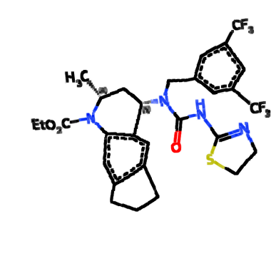 CCOC(=O)N1c2cc3c(cc2[C@@H](N(Cc2cc(C(F)(F)F)cc(C(F)(F)F)c2)C(=O)NC2=NCCS2)C[C@H]1C)CCC3